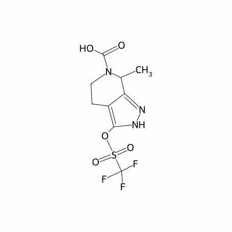 CC1c2n[nH]c(OS(=O)(=O)C(F)(F)F)c2CCN1C(=O)O